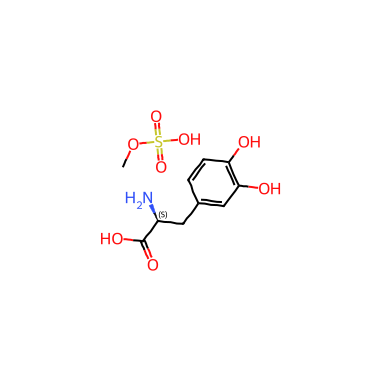 COS(=O)(=O)O.N[C@@H](Cc1ccc(O)c(O)c1)C(=O)O